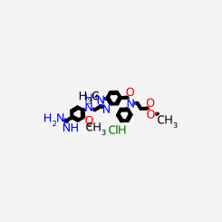 CCOC(=O)CCN(C(=O)c1ccc2c(c1)nc(CNc1ccc(C(=N)N)cc1OC)n2C)c1ccccc1.Cl